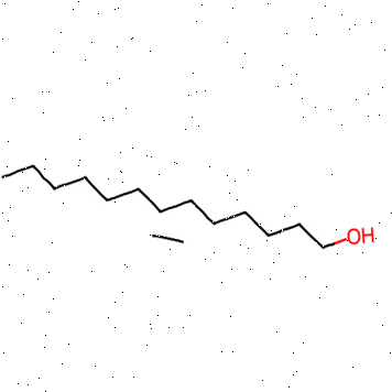 CC.CCCCCCCCCCCCCO